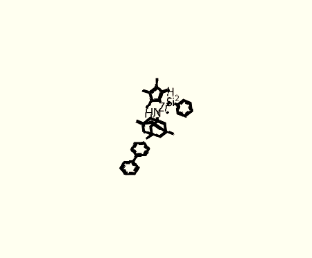 CC1=C(C)C(C)[C]([Zr]([CH3])([NH]C23CC4(C)CC(C)(CC(C)(C4)C2)C3)[SiH2]c2ccccc2)=C1C.c1ccc(-c2ccccc2)cc1